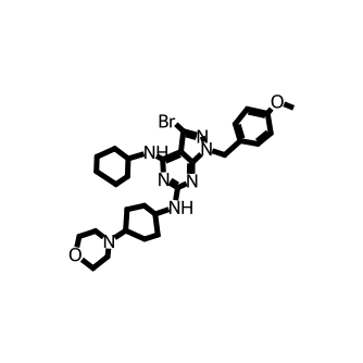 COc1ccc(Cn2nc(Br)c3c(NC4CCCCC4)nc(NC4CCC(N5CCOCC5)CC4)nc32)cc1